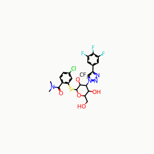 CN(C)C(=O)c1ccc(Cl)cc1SC1OC(CO)C(O)C(n2cc(-c3cc(F)c(F)c(F)c3)nn2)C1OC(F)(F)F